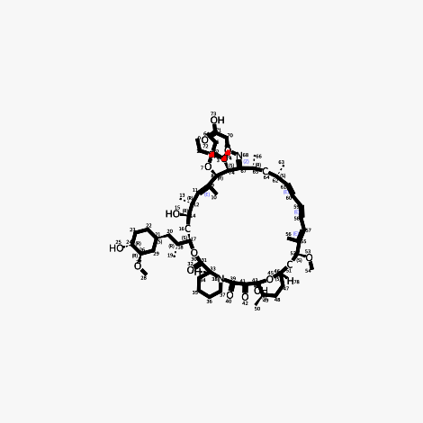 CC[Si](CC)(CC)O[C@@H]1/C(C)=C/[C@@H](C)[C@H](O)C[C@@H]([C@H](C)C[C@@H]2CC[C@@H](O)[C@H](OC)C2)OC(=O)[C@@H]2CCCCN2C(=O)C(=O)[C@]2(O)O[C@@H](CC[C@H]2C)C[C@H](OC)/C(C)=C/C=C/C=C/[C@@H](C)C[C@@H](C)/C(=N/OCC(=O)O)[C@@H]1OC